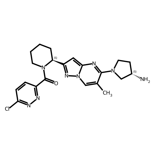 Cc1cn2nc([C@@H]3CCCCN3C(=O)c3ccc(Cl)nn3)cc2nc1N1CC[C@H](N)C1